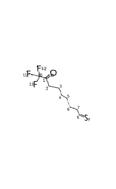 O=C(CCCCCCC=S)C(F)(F)F